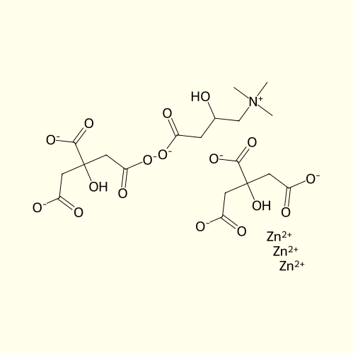 C[N+](C)(C)CC(O)CC(=O)[O-].O=C([O-])CC(O)(CC(=O)[O-])C(=O)[O-].O=C([O-])CC(O)(CC(=O)[O-])C(=O)[O-].[Zn+2].[Zn+2].[Zn+2]